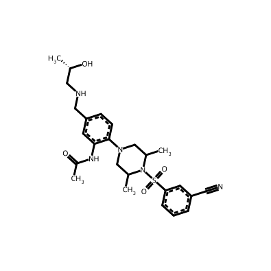 CC(=O)Nc1cc(CNC[C@H](C)O)ccc1N1CC(C)N(S(=O)(=O)c2cccc(C#N)c2)C(C)C1